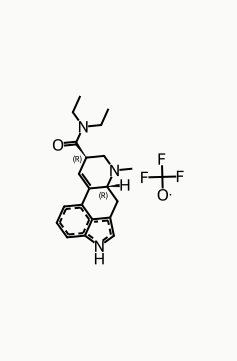 CCN(CC)C(=O)[C@@H]1C=C2c3cccc4[nH]cc(c34)C[C@H]2N(C)C1.[O]C(F)(F)F